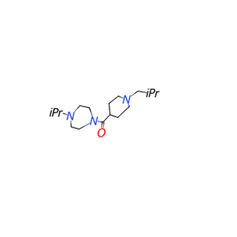 CC(C)CN1CCC(C(=O)N2CCN(C(C)C)CC2)CC1